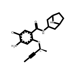 CC#C[C@H](C)Oc1cc(N)c(Cl)cc1C(=O)NC1CC2CCC(C1)N2